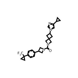 O=C(N1CC(c2ccc(C3(C(F)(F)F)CC3)cc2)C1)N1CC2(CC(n3cnc(C4CC4)c3)C2)C1